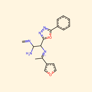 C=NC(N)C(/N=C(\C)c1ccoc1)c1nnc(-c2ccccc2)o1